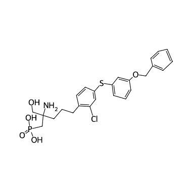 NC(CO)(CCCc1ccc(Sc2cccc(OCc3ccccc3)c2)cc1Cl)CP(=O)(O)O